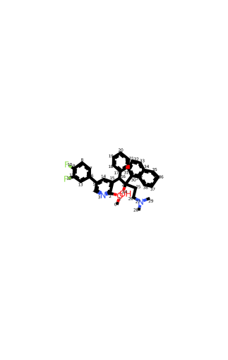 COc1ncc(-c2ccc(F)c(F)c2)cc1C(c1ccccc1)C(O)(CCN(C)C)c1cccc2ccccc12